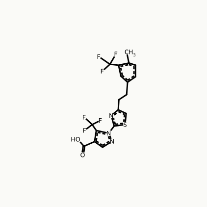 Cc1ccc(CCc2csc(-n3ncc(C(=O)O)c3C(F)(F)F)n2)cc1C(F)(F)F